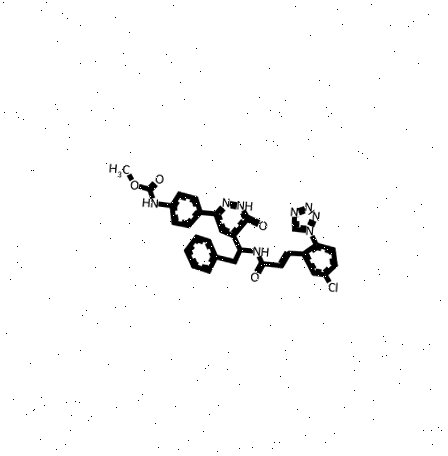 COC(=O)Nc1ccc(-c2cc(C(Cc3ccccc3)NC(=O)/C=C/c3cc(Cl)ccc3-n3cnnn3)c(=O)[nH]n2)cc1